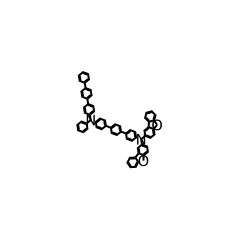 c1ccc(-c2ccc(-c3ccc(N(c4ccccc4)c4ccc(-c5ccc(-c6ccc(N(c7ccc8oc9ccccc9c8c7)c7ccc8oc9ccccc9c8c7)cc6)cc5)cc4)cc3)cc2)cc1